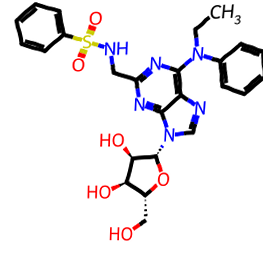 CCN(c1ccccc1)c1nc(CNS(=O)(=O)c2ccccc2)nc2c1ncn2[C@@H]1O[C@H](CO)[C@@H](O)[C@H]1O